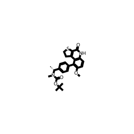 COc1ccc2[nH]c(=O)c3c(c2c1-c1ccc([C@@H](C)N(C)C(=O)OC(C)(C)C)cc1)CCS3